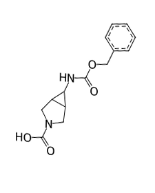 O=C(NC1C2CN(C(=O)O)CC21)OCc1ccccc1